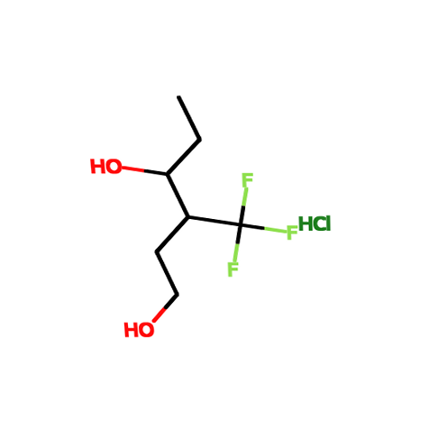 CCC(O)C(CCO)C(F)(F)F.Cl